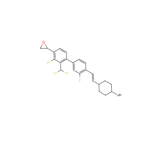 CCCC1CCC(/C=C/c2ccc(-c3ccc(C4CO4)c(F)c3C(F)F)cc2F)CC1